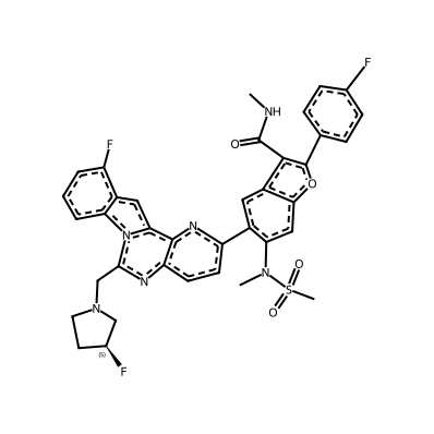 CNC(=O)c1c(-c2ccc(F)cc2)oc2cc(N(C)S(C)(=O)=O)c(-c3ccc4nc(CN5CC[C@H](F)C5)n5c6cccc(F)c6cc5c4n3)cc12